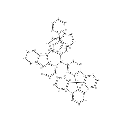 c1ccc(-c2ccc(N(c3ccc4c(c3)C3(c5ccccc5-c5ccccc53)c3ccccc3-4)c3cccc4c5ccccc5n(-c5ccc6ccccc6c5)c34)cc2)cc1